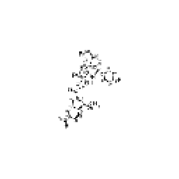 COc1cc(C(=O)NC[C@](O)(c2cc3c(c(-c4ccc(F)cc4)n2)OCC3(CF)CF)C(F)F)cc2cc(C(F)F)cnc12